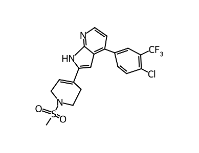 CS(=O)(=O)N1CC=C(c2cc3c(-c4ccc(Cl)c(C(F)(F)F)c4)ccnc3[nH]2)CC1